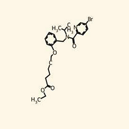 CCOC(=O)CCCCCOc1ccccc1CN(C(=O)c1ccc(Br)cn1)C(C)C